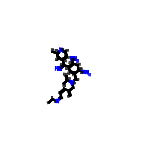 C=C(/C=C\C=N/CC)CN(CC1=CC(C(=N)c2ccnc(C)c2)=C(N)CC1N)C(=C)C